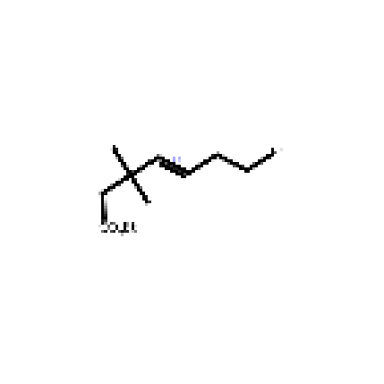 CCOC(=O)CC(C)(C)/C=C/CCBr